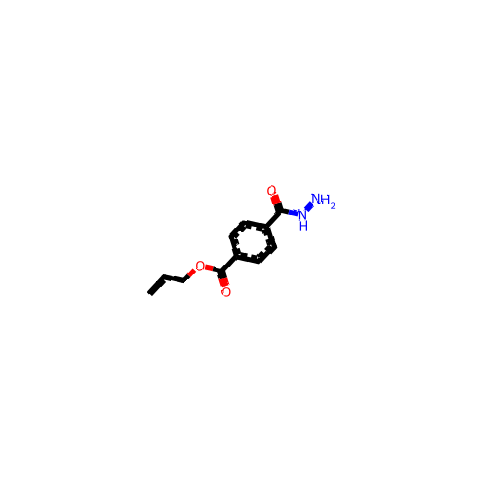 C=CCOC(=O)c1ccc(C(=O)NN)cc1